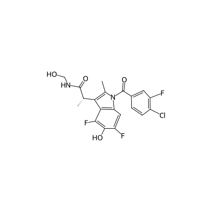 Cc1c([C@H](C)C(=O)NCO)c2c(F)c(O)c(F)cc2n1C(=O)c1ccc(Cl)c(F)c1